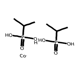 CC(C)P(=O)(O)O.CC(C)P(=O)(O)O.[Co]